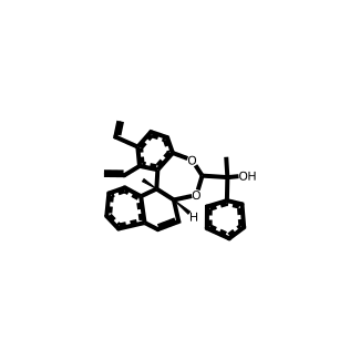 C=Cc1ccc2c(c1C=C)[C@@]1(C)c3ccccc3C=C[C@H]1OC(C(C)(O)c1ccccc1)O2